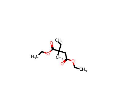 CCOC(=O)CC(C)(CC)C(=O)OCC